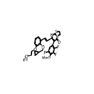 CCOCCOc1cccc(C=Cc2nc3sccn3c(=O)c2-c2cc(F)c(OC)c(F)c2F)c1OCC1CC1